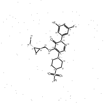 CC(C)S(=O)(=O)N1CCN(c2cnn(-c3cc(F)cc(F)c3)c(=O)c2OC[C@H]2C[C@@H]2CF)CC1